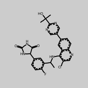 CC(Nc1c(Cl)cnc2ccc(-c3cnc(C(C)(C)O)nc3)cc12)c1cc(C2NC(=O)NC2=O)ccc1F